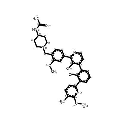 [CH2]c1ccc(-c2cccc(-c3ccnc(-c4ccc(CN5CCC(NC(C)=O)CC5)c(OC)c4)c3Cl)c2Cl)nc1OC